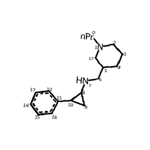 CCCN1CCCC(CNC2CC2c2ccccc2)C1